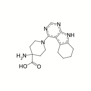 NC1(C(=O)O)CCN(c2ncnc3[nH]c4c(c23)CCCC4)CC1